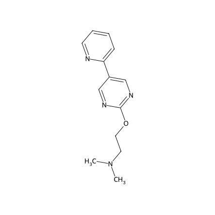 CN(C)CCOc1ncc(-c2ccccn2)cn1